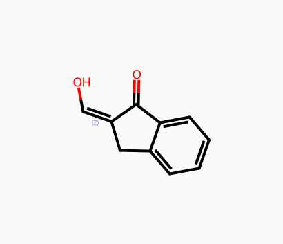 O=C1/C(=C\O)Cc2ccccc21